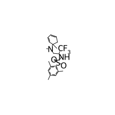 Cc1cc(C)c(S(=O)(=O)NC(CN(C)C2(C)C=CC=CC2)C(F)(F)F)c(C)c1